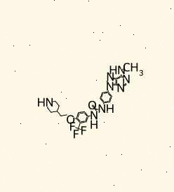 CNc1ncnc2c1ncn2-c1ccc(NC(=O)Nc2ccc(OCCC3CCNCC3)c(C(F)(F)F)c2)cc1